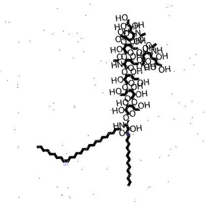 CCCCCCCC/C=C\CCCCCCCCCCCCCCCC(=O)N[C@@H](CO[C@@H]1OC(CO)[C@@H](O[C@@H]2OC(CO)[C@H](O[C@@H]3OC(CO)[C@H](O)[C@H](O[C@@H]4OC(CO[C@]5(C(=O)O)CC(O)[C@@H](NC(C)=O)C([C@H](O)[C@H](O)CO)O5)[C@H](O)[C@H](O[C@@H]5OC(CO)[C@H](O)[C@H](O[C@]6(C(=O)O)CC(O)[C@@H](NC(C)=O)C([C@H](O)[C@H](O)CO)O6)C5O)C4NC(C)=O)C3O)[C@H](O)C2O)[C@H](O)C1O)[C@H](O)/C=C/CCCCCCCCCCCCC